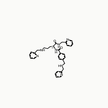 O=C(N[C@@H](CCCNCc1ccccn1)C(=O)NCc1ccccn1)c1ccc(CNCc2ccccn2)cc1